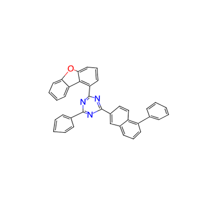 c1ccc(-c2nc(-c3ccc4c(-c5ccccc5)cccc4c3)nc(-c3cccc4oc5ccccc5c34)n2)cc1